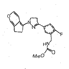 COC(=O)NCc1cc(C2=NN(C3=C4C=COC=C4CC3)CC2)ccc1F